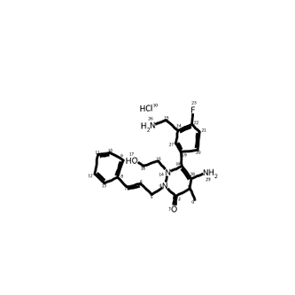 CC1C(=O)N(CC=Cc2ccccc2)N(CCO)C(c2ccc(F)c(CN)c2)=C1N.Cl